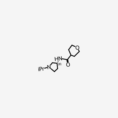 CC(C)N1CC[C@@H](NC(=O)C2CCOCC2)C1